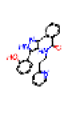 O=C(NCCc1ccccn1)c1ccccc1-c1cc(-c2ccccc2O)[nH]n1